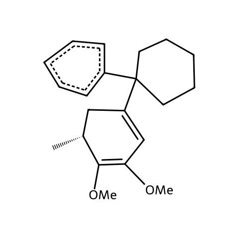 COC1=C(OC)[C@H](C)CC(C2(c3ccccc3)CCCCC2)=C1